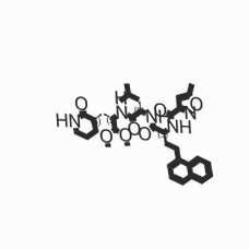 COC(OC)[C@H](C[C@@H]1CCCNC1=O)NC(=O)[C@H](CC(C)C)NC(=O)[C@H](CCc1cccc2ccccc12)NC(=O)c1cc(C)on1